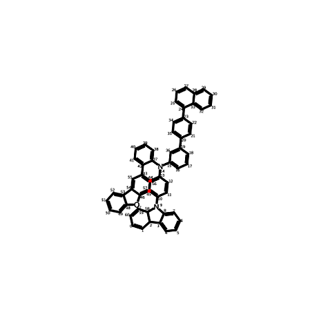 C1=CC2c3ccccc3N(c3ccc(N(c4cccc(-c5ccc(-c6cccc7ccccc67)cc5)c4)c4ccccc4-c4ccc5oc6ccccc6c5c4)cc3)C2C=C1